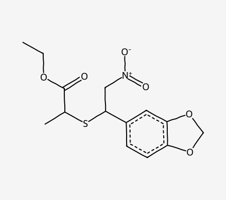 CCOC(=O)C(C)SC(C[N+](=O)[O-])c1ccc2c(c1)OCO2